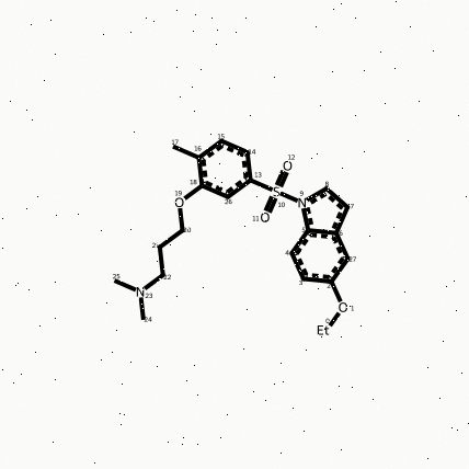 CCOc1ccc2c(ccn2S(=O)(=O)c2ccc(C)c(OCCCN(C)C)c2)c1